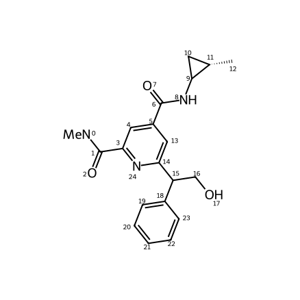 CNC(=O)c1cc(C(=O)NC2C[C@@H]2C)cc(C(CO)c2ccccc2)n1